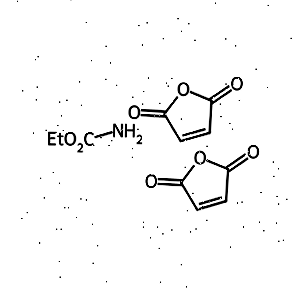 CCOC(N)=O.O=C1C=CC(=O)O1.O=C1C=CC(=O)O1